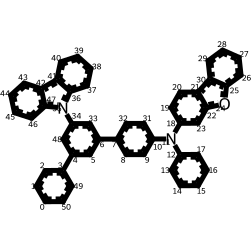 c1ccc(-c2cc(-c3ccc(N(c4ccccc4)c4ccc5c(c4)oc4ccccc45)cc3)cc(-n3c4ccccc4c4ccccc43)c2)cc1